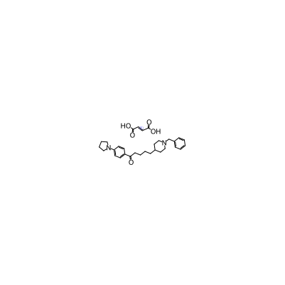 O=C(CCCCC1CCN(Cc2ccccc2)CC1)c1ccc(N2CCCC2)cc1.O=C(O)/C=C/C(=O)O